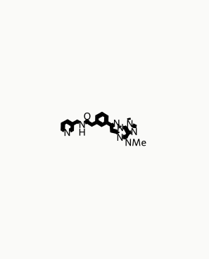 CNc1nc2cc(-c3cccc(CC(=O)NCc4cccnc4)c3)nn2c2c1ncn2C